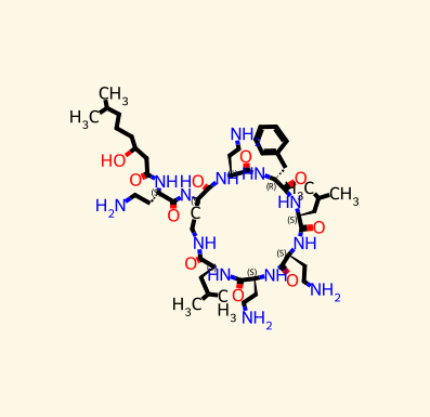 CC(C)CCCC(O)CC(=O)N[C@@H](CCN)C(=O)N[C@H]1CCNC(=O)[C@H](CC(C)C)NC(=O)[C@H](CCN)NC(=O)[C@H](CCN)NC(=O)[C@H](CC(C)C)NC(=O)[C@@H](Cc2ccccc2)NC(=O)[C@H](CCN)NC1=O